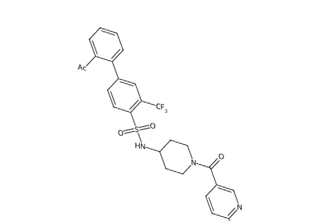 CC(=O)c1ccccc1-c1ccc(S(=O)(=O)NC2CCN(C(=O)c3ccc(Cl)nc3)CC2)c(C(F)(F)F)c1